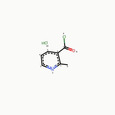 Cc1ncccc1C(=O)Cl.Cl